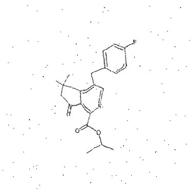 CC(C)OC(=O)c1ncc(Cc2ccc(F)cc2)c2c1NCC2(C)C